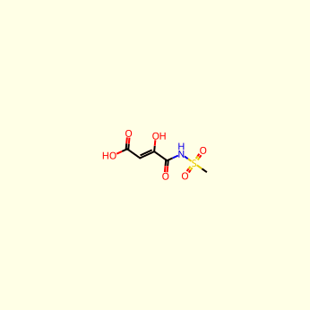 CS(=O)(=O)NC(=O)/C(O)=C/C(=O)O